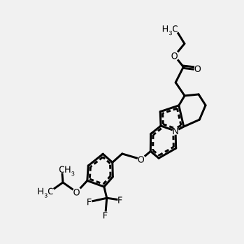 CCOC(=O)CC1CCCc2c1cc1cc(OCc3ccc(OC(C)C)c(C(F)(F)F)c3)ccn21